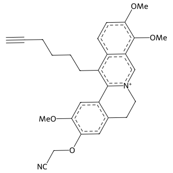 C#CCCCCc1c2[n+](cc3c(OC)c(OC)ccc13)CCc1cc(OCC#N)c(OC)cc1-2